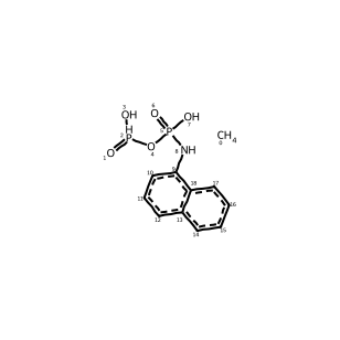 C.O=[PH](O)OP(=O)(O)Nc1cccc2ccccc12